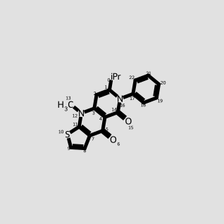 CC(C)c1cc2c(c(=O)c3ccsc3n2C)c(=O)n1-c1ccccc1